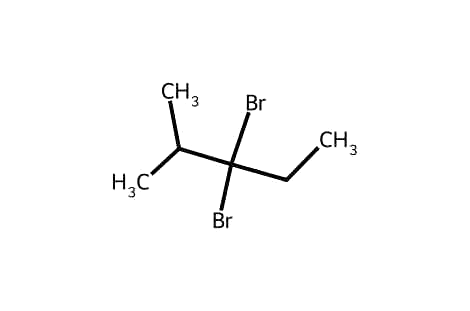 CCC(Br)(Br)C(C)C